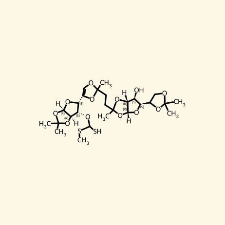 CSC(S)O[C@@H]1[C@H]2OC(C)(C)O[C@H]2O[C@@H]1C1=COC(C)(CCC2(C)O[C@H]3O[C@H](C4COC(C)(C)O4)[C@H](O)[C@H]3O2)O1